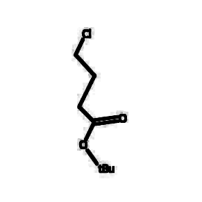 CC(C)(C)OC(=O)CCCCl